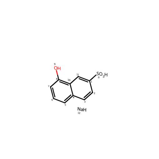 O=S(=O)(O)c1ccc2cccc(O)c2c1.[NaH]